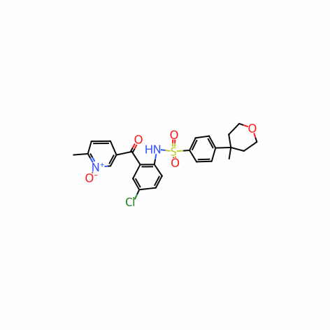 Cc1ccc(C(=O)c2cc(Cl)ccc2NS(=O)(=O)c2ccc(C3(C)CCOCC3)cc2)c[n+]1[O-]